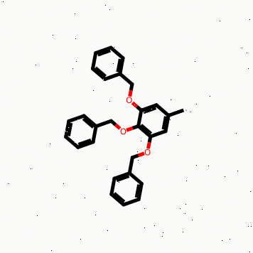 [CH2]c1cc(OCc2ccccc2)c(OCc2ccccc2)c(OCc2ccccc2)c1